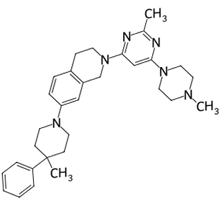 Cc1nc(N2CCN(C)CC2)cc(N2CCc3ccc(N4CCC(C)(c5ccccc5)CC4)cc3C2)n1